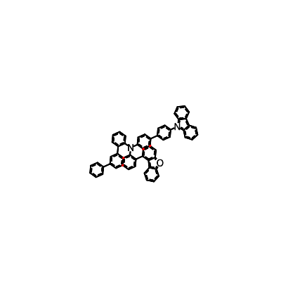 c1ccc(-c2cccc(-c3ccccc3N(c3ccc(-c4ccc(-n5c6ccccc6c6ccccc65)cc4)cc3)c3ccccc3-c3cccc4oc5ccccc5c34)c2)cc1